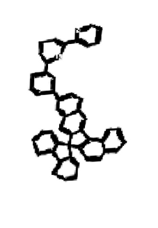 c1ccc(-c2cccc(-c3cccc(-c4ccc5cc6c(cc5c4)C4(c5ccccc5-c5ccccc54)c4ccc5ccccc5c4-6)c3)n2)nc1